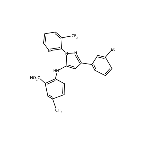 CCc1cccc(-c2cc(Nc3ccc(C)cc3C(=O)O)n(-c3ncccc3C(F)(F)F)n2)c1